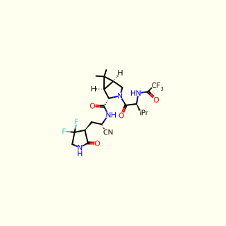 CC(C)[C@H](NC(=O)C(F)(F)F)C(=O)N1C[C@H]2[C@@H]([C@H]1C(=O)N[C@H](C#N)C[C@H]1C(=O)NCC1(F)F)C2(C)C